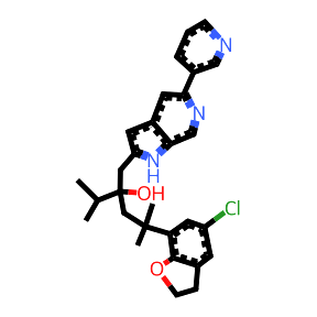 CC(C)C(O)(Cc1cc2cc(-c3cccnc3)ncc2[nH]1)CC(C)(C)c1cc(Cl)cc2c1OCC2